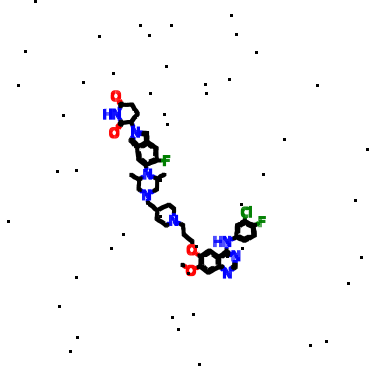 COc1cc2ncnc(Nc3ccc(F)c(Cl)c3)c2cc1OCCCN1CCC(CN2CC(C)N(c3cc4cn(C5CCC(=O)NC5=O)cc4cc3F)C(C)C2)CC1